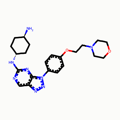 N[C@H]1CC[C@H](Nc2ncc3nnn(-c4ccc(OCCN5CCOCC5)cc4)c3n2)CC1